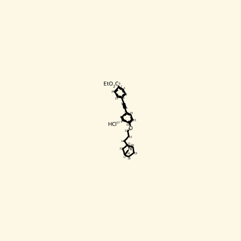 CCOC(=O)c1ccc(C#Cc2ccc(OCCCN3CC4CCC3CC4)cc2)cc1.Cl